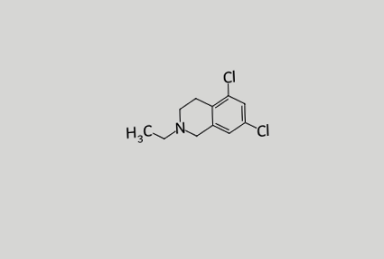 CCN1CCc2c(Cl)cc(Cl)cc2C1